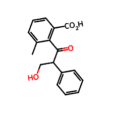 Cc1cccc(C(=O)O)c1C(=O)C(CO)c1ccccc1